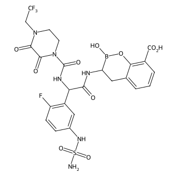 NS(=O)(=O)Nc1ccc(F)c(C(NC(=O)N2CCN(CC(F)(F)F)C(=O)C2=O)C(=O)NC2Cc3cccc(C(=O)O)c3OB2O)c1